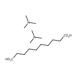 CN(C)C.CN(C)C.O=C(O)CCCCCCCCC(=O)O